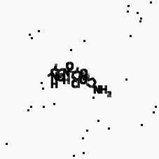 Cc1cc(C)c(CNC(=O)c2cc(Cl)c3c(c2C)O[C@@](C)([C@H]2CC[C@H](N)CC2)O3)c(=O)[nH]1